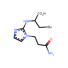 CC(C)(C)CC(Nc1nccn1CCC(N)=O)C(=O)O